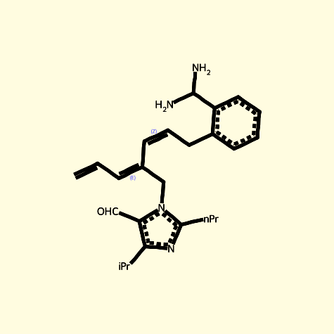 C=C/C=C(\C=C/Cc1ccccc1C(N)N)Cn1c(CCC)nc(C(C)C)c1C=O